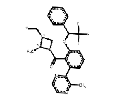 Cc1nccnc1-c1cc[c]c(OC(c2ccccc2)C(F)(F)F)c1C(=O)N1C[C@H](CF)[C@@H]1C